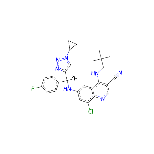 [2H]C(Nc1cc(Cl)c2ncc(C#N)c(NCC(C)(C)C)c2c1)(c1ccc(F)cc1)c1cn(C2CC2)nn1